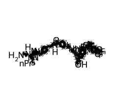 CCCSc1nc(NCCN)c2nnn(Cc3ccc(CCCNC(=O)C4CCN(CCNC[C@H](O)Cn5c(C(C)(C)CO)cc6cc(NC(=O)C7(c8ccc9c(c8)OC(F)(F)O9)CC7)c(F)cc65)CC4)cc3)c2n1